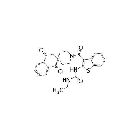 CCNC(=O)Nc1sc2ccccc2c1C(=O)N1CCC2(CC1)CC(=O)c1ccccc1[S+]2[O-]